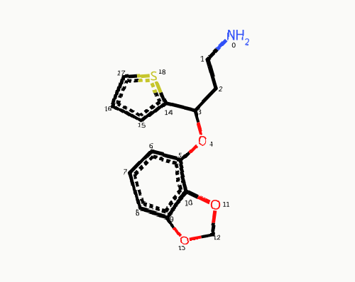 NCCC(Oc1cccc2c1OCO2)c1cccs1